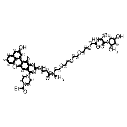 CCC(=O)N1CCN(c2nc(NCCC(=O)N(C)CCOCCOCCOCCOCC(=O)N[C@H](C(=O)N3C[C@H](O)C[C@H]3C)C(C)(C)C)nc3c(F)c(-c4cc(O)cc5ccccc45)c(Cl)cc23)CC1